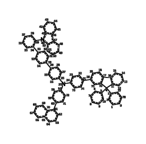 c1ccc(C2(c3ccccc3)c3ccccc3-c3ccc(-c4ccc(N(c5ccc(-c6ccc(-c7ccccc7-n7c8ccccc8c8ccccc87)cc6)cc5)c5ccc(-c6cccc7ccccc67)cc5)cc4)cc32)cc1